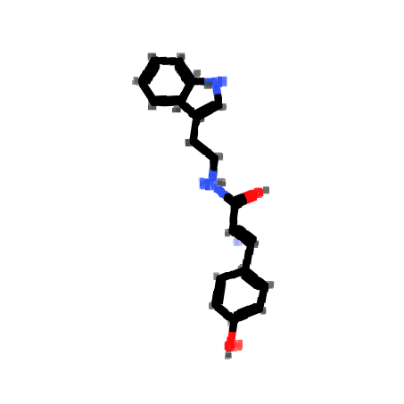 O=C(/C=C/c1ccc(O)cc1)NCCc1c[nH]c2ccccc12